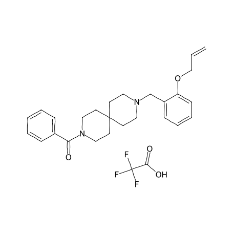 C=CCOc1ccccc1CN1CCC2(CC1)CCN(C(=O)c1ccccc1)CC2.O=C(O)C(F)(F)F